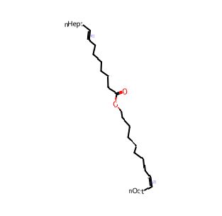 CCCCCCC/C=C/CCCCCCC(=O)OCCCCCCCC/C=C\CCCCCCCC